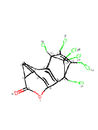 O=C1Oc2cc3c(c4c2C2(Cl)C(Cl)=C(Cl)C4(Cl)C2(Cl)Cl)C13